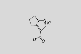 O=C([O-])c1cnn2c1CCC2.[K+]